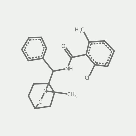 Cc1cccc(Cl)c1C(=O)NC(c1ccccc1)C12CCC(CC1)CN2C